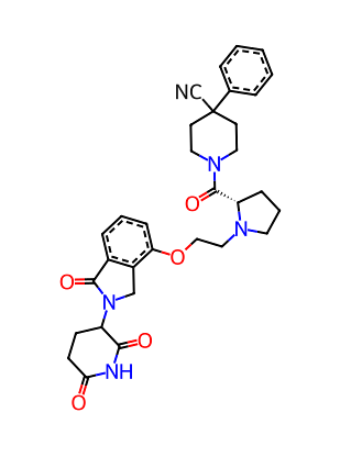 N#CC1(c2ccccc2)CCN(C(=O)[C@@H]2CCCN2CCOc2cccc3c2CN(C2CCC(=O)NC2=O)C3=O)CC1